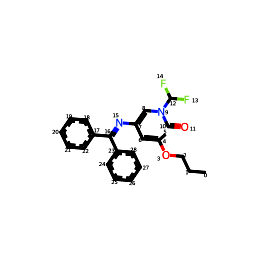 CCCO/C(C)=C/C(=C\N(C=O)C(F)F)N=C(c1ccccc1)c1ccccc1